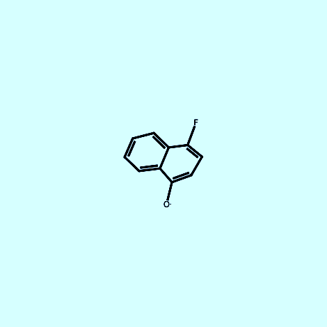 [O]c1ccc(F)c2ccccc12